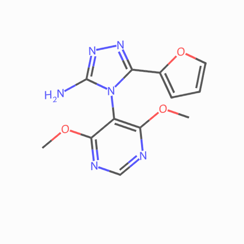 COc1ncnc(OC)c1-n1c(N)nnc1-c1ccco1